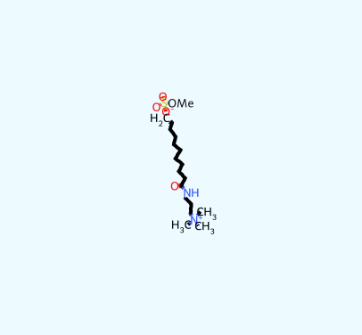 C=CCCCCCCCCC(=O)NCCC[N+](C)(C)C.COS(=O)(=O)[O-]